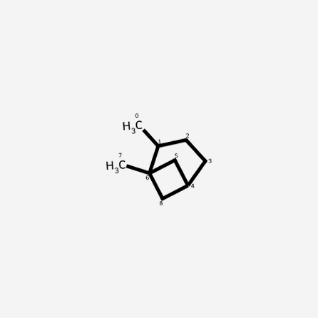 C[C]1CCC2CC1(C)C2